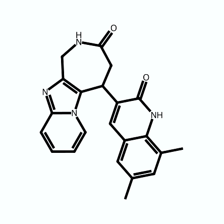 Cc1cc(C)c2[nH]c(=O)c(C3CC(=O)NCc4nc5ccccn5c43)cc2c1